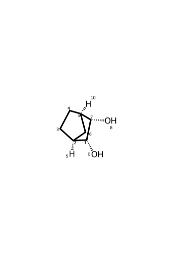 O[C@@H]1[C@H]2CC[C@H](C2)[C@@H]1O